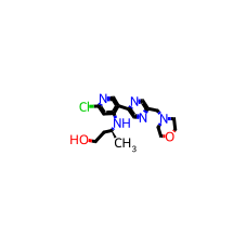 C[C@@H](CCO)Nc1cc(Cl)ncc1-c1cnc(CN2CCOCC2)cn1